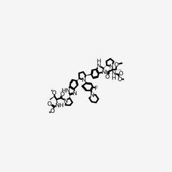 COC(=O)N[C@H](C(=O)N1CCC[C@H]1c1nc2cc([C@@H]3CC[C@@H](c4ccc5c(c4)NC([C@@H]4CCCN4[C@@](C=O)(NC(=O)OC)[C@@H](C)OC)N5)N3c3ccc(N4CCCCC4)c(F)c3)ccc2[nH]1)[C@@H](C)OC